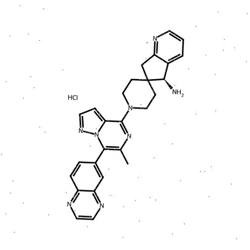 Cc1nc(N2CCC3(CC2)Cc2ncccc2[C@H]3N)c2ccnn2c1-c1ccc2nccnc2c1.Cl